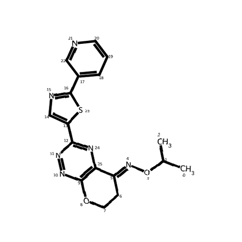 CC(C)O/N=C1\CCOc2nnc(-c3cnc(-c4cccnc4)s3)nc21